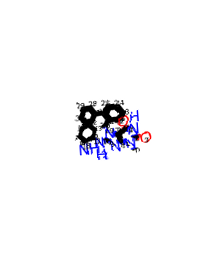 Cn1c(=O)[nH]c(=O)c2c1nc(N[C@H]1CCCC[C@H]1N)n2Cc1ccccc1-c1ccccc1